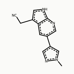 Cn1cc(-c2cnc3[nH]cc(CC#N)c3c2)cn1